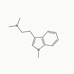 CN(C)CCc1cn(C)c2ccc[c]c12